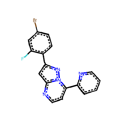 Fc1cc(Br)ccc1-c1cc2n[c]cc(-c3ccccn3)n2n1